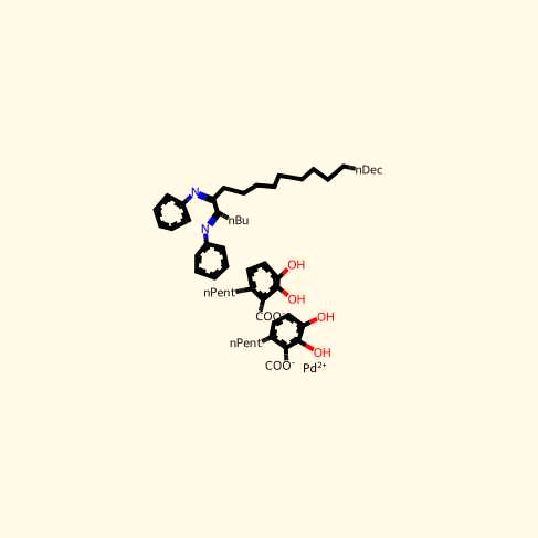 CCCCCCCCCCCCCCCCCCCC(=Nc1ccccc1)C(CCCC)=Nc1ccccc1.CCCCCc1ccc(O)c(O)c1C(=O)[O-].CCCCCc1ccc(O)c(O)c1C(=O)[O-].[Pd+2]